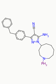 N#Cc1c(-c2ccc(Cc3ccccc3)cc2)nn(C2CCCCCN(P)CC2)c1N